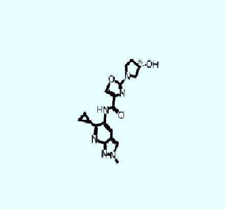 Cn1cc2cc(NC(=O)c3coc(N4CC[C@H](O)C4)n3)c(C3CC3)nc2n1